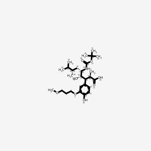 COCCCOc1cc(C([C@@H](C)C(=O)O)[C@H](O)[C@H](C[C@H](C)C(C)C)NC(=O)OC(C)(C)C)ccc1O